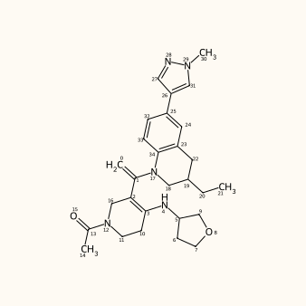 C=C(C1=C(NC2CCOC2)CCN(C(C)=O)C1)N1CC(CC)Cc2cc(-c3cnn(C)c3)ccc21